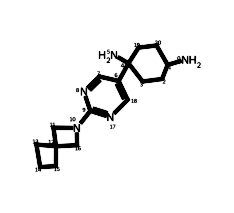 NC1CCC(N)(c2cnc(N3CC4(CCC4)C3)nc2)CC1